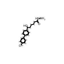 NNC(=O)CCCCC(O)c1ccc(-c2ccc(Cl)cc2)cc1